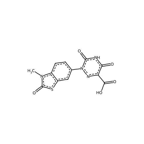 Cn1c(=O)sc2cc(-n3nc(C(=O)O)c(=O)[nH]c3=O)ccc21